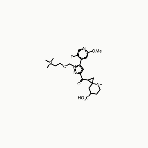 COc1cc(-c2cc(C(=O)C3CC34CC(C(=O)O)CCN4)nn2COCC[Si](C)(C)C)c(F)cn1